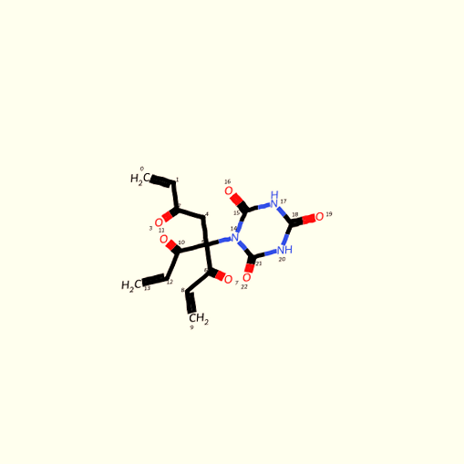 C=CC(=O)CC(C(=O)C=C)(C(=O)C=C)n1c(=O)[nH]c(=O)[nH]c1=O